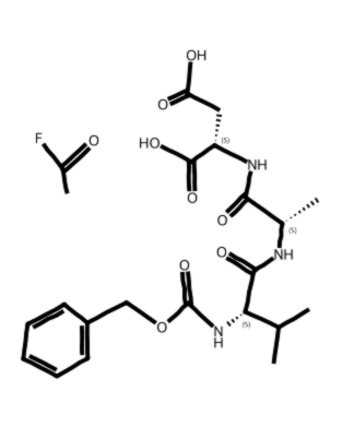 CC(=O)F.CC(C)[C@H](NC(=O)OCc1ccccc1)C(=O)N[C@@H](C)C(=O)N[C@@H](CC(=O)O)C(=O)O